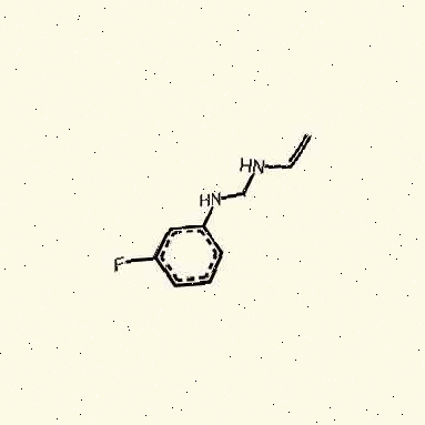 C=CNCNc1cccc(F)c1